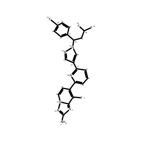 Nc1nc2c(F)c(-c3cccc(-c4cnn(C(CC(F)F)c5ccc(F)cc5)c4)n3)ccn2n1